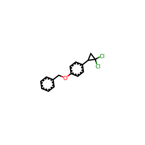 ClC1(Cl)CC1c1ccc(OCc2ccccc2)cc1